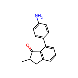 CC1Cc2cccc(-c3ccc(N)cc3)c2C1=O